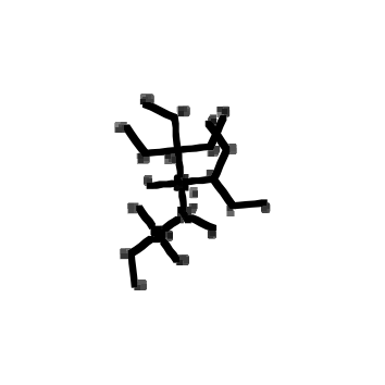 CCC(CC)[Si](C)(N(C)[Si](C)(C)CC)C(CC)(CC)CC